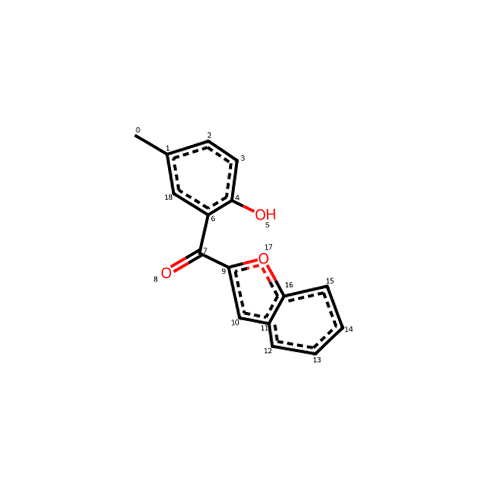 Cc1ccc(O)c(C(=O)c2cc3ccccc3o2)c1